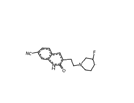 N#Cc1ccc2cc(CCN3CC[CH]C(F)C3)c(=O)[nH]c2c1